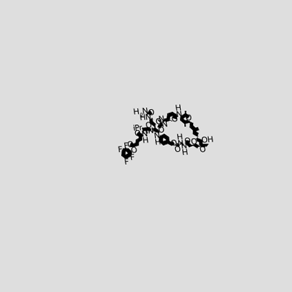 CC(/C=C/[C@H]1O[C@H](CC(=O)NNC(=O)OCc2ccc(NC(=O)[C@H](CCCNC(N)=O)NC(=O)[C@@H](NC(=O)CCCC(=O)Oc3c(F)c(F)cc(F)c3F)C(C)C)cc2)C[C@@]2(CO2)[C@@H]1O)=C\C[C@@H]1O[C@H](C)[C@H](NC(=O)/C=C\[C@H](C)c2noc(C)n2)C[C@@H]1C